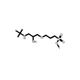 CC(C)(I)NCC(O)COCCCS(=O)(=O)OI